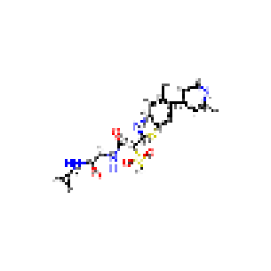 Cc1cc(-c2cc3sc(C(C(=O)NCC(=O)NC4CC4)S(C)(=O)=O)nc3cc2C)ccn1